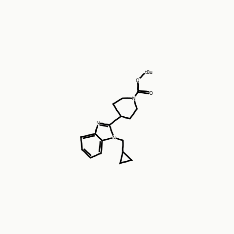 CC(C)(C)OC(=O)N1CCC(c2nc3ccccc3n2CC2CC2)CC1